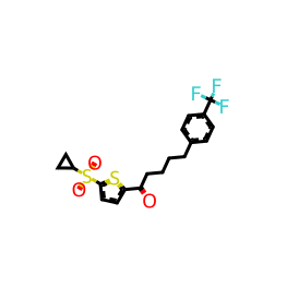 O=C(CCCCc1ccc(C(F)(F)F)cc1)c1ccc(S(=O)(=O)C2CC2)s1